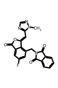 Cn1ncnc1C=C1OC(=O)c2cc(F)cc(CN3C(=O)c4ccccc4C3=O)c21